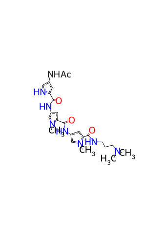 CC(=O)Nc1c[nH]c(C(=O)Nc2cc(C(=O)Nc3cc(C(=O)NCCCN(C)C)n(C)c3)n(C)c2)c1